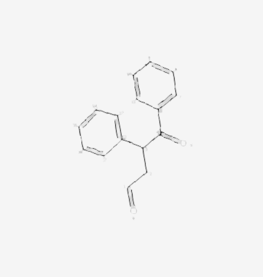 O=[C]CC(C(=O)c1ccccc1)c1ccccc1